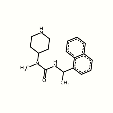 CC(NC(=O)N(C)C1CCNCC1)c1cccc2ccccc12